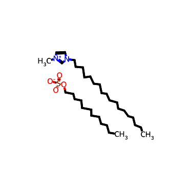 CCCCCCCCCCCCCCCCCCn1cc[n+](C)c1.CCCCCCCCCCCCOS(=O)(=O)[O-]